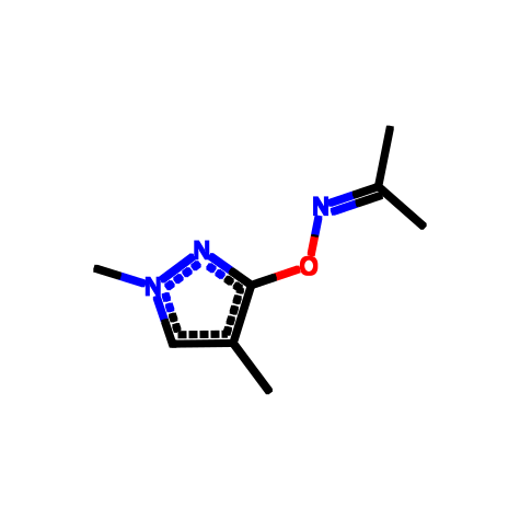 CC(C)=NOc1nn(C)cc1C